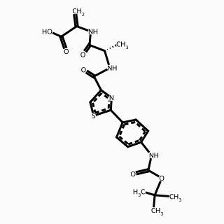 C=C(NC(=O)[C@H](C)NC(=O)c1csc(-c2ccc(NC(=O)OC(C)(C)C)cc2)n1)C(=O)O